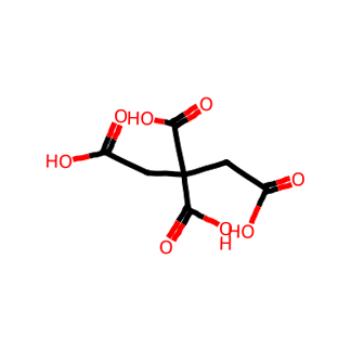 O=C(O)CC(CC(=O)O)(C(=O)O)C(=O)O